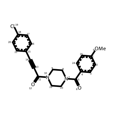 COc1ccc(C(=O)N2CCN(C(=O)C#Cc3ccc(Cl)cc3)CC2)cc1